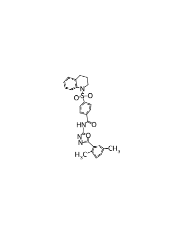 Cc1ccc(C)c(-c2nnc(NC(=O)c3ccc(S(=O)(=O)N4CCCc5ccccc54)cc3)o2)c1